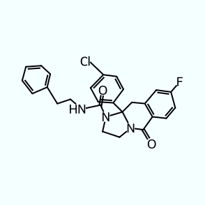 O=C(NCCc1ccccc1)N1CCN2C(=O)c3ccc(F)cc3CC12c1ccc(Cl)cc1